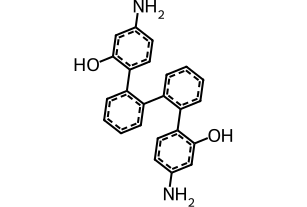 Nc1ccc(-c2ccccc2-c2ccccc2-c2ccc(N)cc2O)c(O)c1